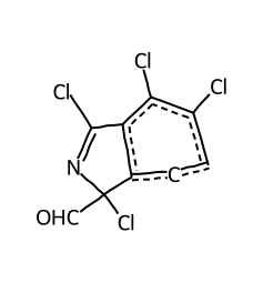 O=CC1(Cl)N=C(Cl)c2c1ccc(Cl)c2Cl